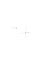 CCC1(CC)CNC(=O)C1N